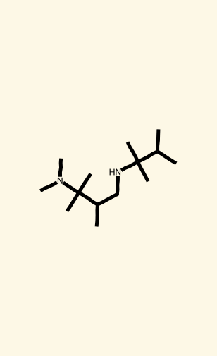 CC(C)C(C)(C)NCC(C)C(C)(C)N(C)C